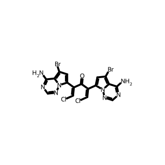 Nc1ncnn2c(C(=CCl)C(=O)C(=CCl)c3cc(Br)c4c(N)ncnn34)cc(Br)c12